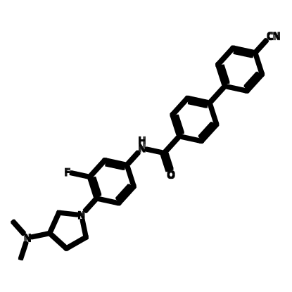 CN(C)C1CCN(c2ccc(NC(=O)c3ccc(-c4ccc(C#N)cc4)cc3)cc2F)C1